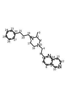 CC1CN(C[CH]c2ccc3cnccc3n2)CCN1CCCc1ccccc1